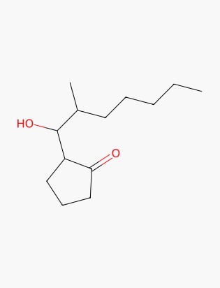 CCCCCC(C)C(O)C1CCCC1=O